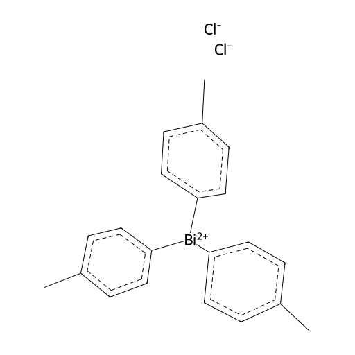 Cc1cc[c]([Bi+2]([c]2ccc(C)cc2)[c]2ccc(C)cc2)cc1.[Cl-].[Cl-]